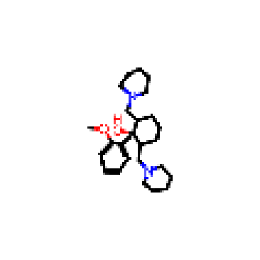 COc1ccccc1C1(O)C(CN2CCCCC2)CCCC1CN1CCCCC1